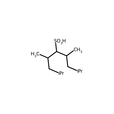 CC(C)CC(C)C(C(C)CC(C)C)S(=O)(=O)O